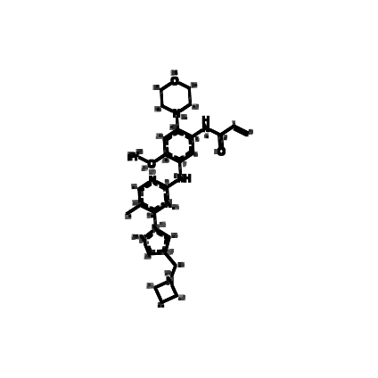 C=CC(=O)Nc1cc(Nc2ncc(C)c(-n3cc(CN4CCC4)cn3)n2)c(OC(C)C)cc1N1CCOCC1